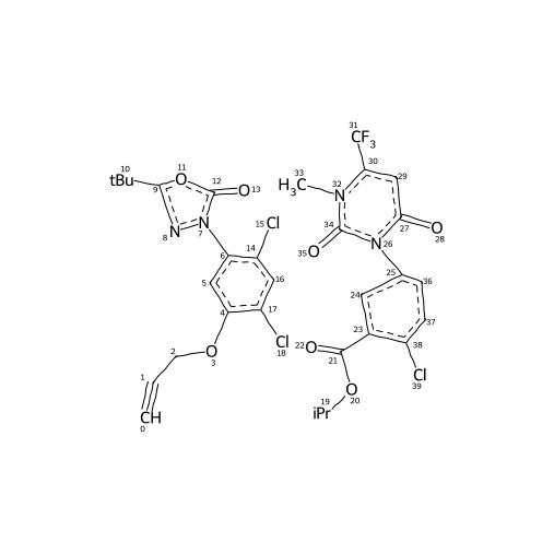 C#CCOc1cc(-n2nc(C(C)(C)C)oc2=O)c(Cl)cc1Cl.CC(C)OC(=O)c1cc(-n2c(=O)cc(C(F)(F)F)n(C)c2=O)ccc1Cl